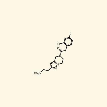 O=C(O)CCc1cc2n(n1)CCN(C(=O)Cc1ccc(F)cc1Cl)C2